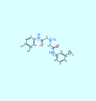 Cc1ccc(NC(=O)CN(C)CC(=O)Nc2cccc(C(F)(F)F)c2)cc1C